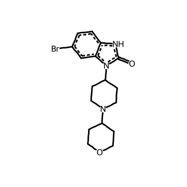 O=c1[nH]c2ccc(Br)cc2n1C1CCN(C2CCOCC2)CC1